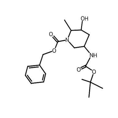 CC1C(O)CC(NC(=O)OC(C)(C)C)CN1C(=O)OCc1ccccc1